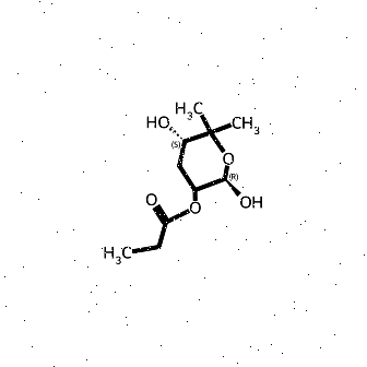 CCC(=O)OC1C[C@H](O)C(C)(C)O[C@H]1O